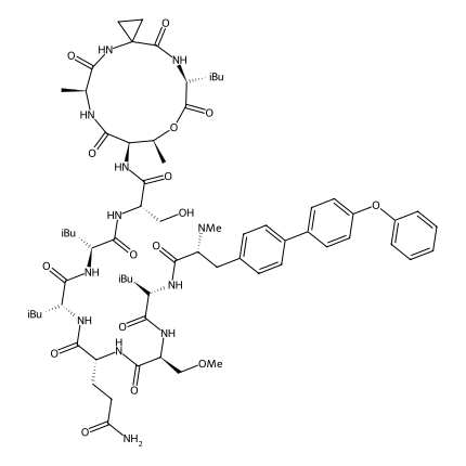 CC[C@H](C)[C@H](NC(=O)[C@@H](Cc1ccc(-c2ccc(Oc3ccccc3)cc2)cc1)NC)C(=O)N[C@@H](COC)C(=O)N[C@H](CCC(N)=O)C(=O)N[C@@H](C(=O)N[C@H](C(=O)N[C@@H](CO)C(=O)N[C@H]1C(=O)N[C@@H](C)C(=O)NC2(CC2)C(=O)N[C@@H]([C@@H](C)CC)C(=O)O[C@H]1C)[C@@H](C)CC)[C@@H](C)CC